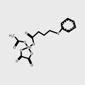 CC(=O)O[PH]1(OC(=O)CCCSc2ccccc2)OC(=O)C(=O)O1